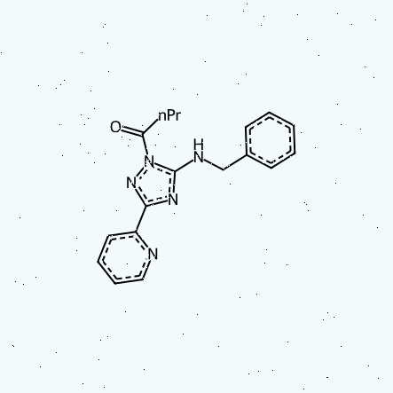 CCCC(=O)n1nc(-c2ccccn2)nc1NCc1ccccc1